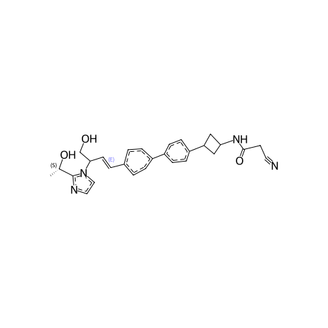 C[C@H](O)c1nccn1C(/C=C/c1ccc(-c2ccc(C3CC(NC(=O)CC#N)C3)cc2)cc1)CO